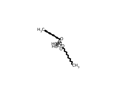 CC#CC#CC#CC#CC(=O)OC[C@H](OC(=O)CCCCCCCCCCC)OP(=O)(O)O